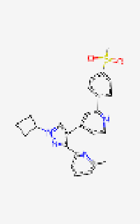 Cc1cccc(-c2nn(C3CCC3)cc2-c2ccnc(-c3ccc(S(C)(=O)=O)cc3)c2)n1